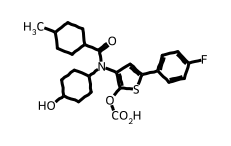 CC1CCC(C(=O)N(c2cc(-c3ccc(F)cc3)sc2OC(=O)O)C2CCC(O)CC2)CC1